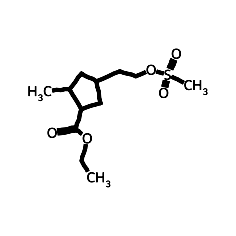 CCOC(=O)C1CC(CCOS(C)(=O)=O)CC1C